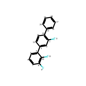 Fc1cc(-c2cccc(F)c2F)ccc1-c1ccccc1